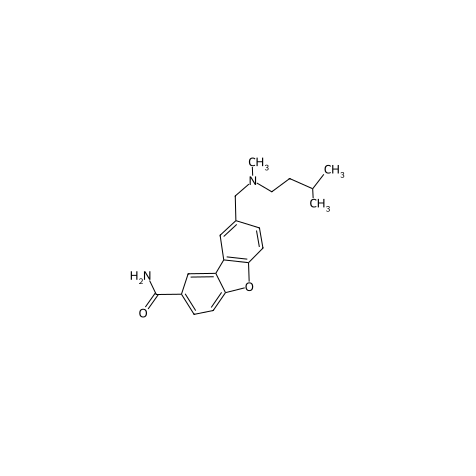 CC(C)CCN(C)Cc1ccc2oc3ccc(C(N)=O)cc3c2c1